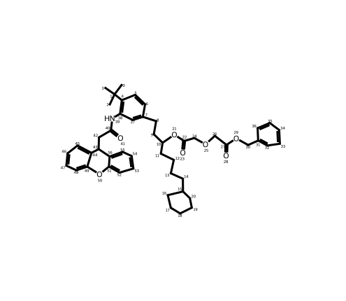 CC(C)(C)c1ccc(CCC(CCCCC2CCCCC2)OC(=O)COCC(=O)OCc2ccccc2)cc1NC(=O)CC1c2ccccc2Oc2ccccc21